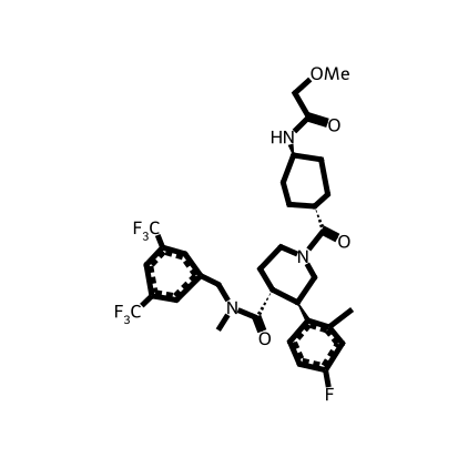 COCC(=O)N[C@H]1CC[C@H](C(=O)N2CC[C@@H](C(=O)N(C)Cc3cc(C(F)(F)F)cc(C(F)(F)F)c3)[C@H](c3ccc(F)cc3C)C2)CC1